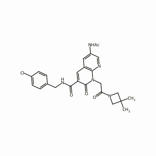 CC(=O)Nc1cnc2c(c1)cc(C(=O)NCc1ccc(Cl)cc1)c(=O)n2CC(=O)N1CC(C)(C)C1